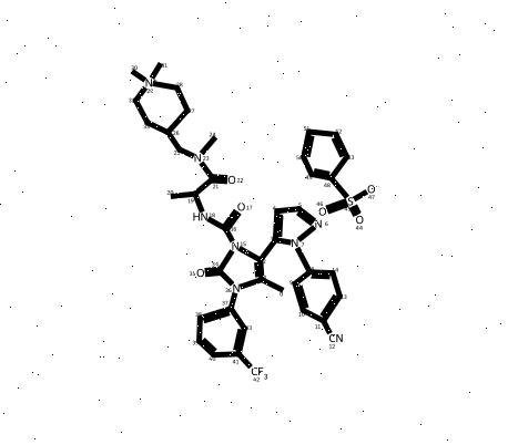 Cc1c(-c2ccnn2-c2ccc(C#N)cc2)n(C(=O)NC(C)C(=O)N(C)CC2CC[N+](C)(C)CC2)c(=O)n1-c1cccc(C(F)(F)F)c1.O=S(=O)([O-])c1ccccc1